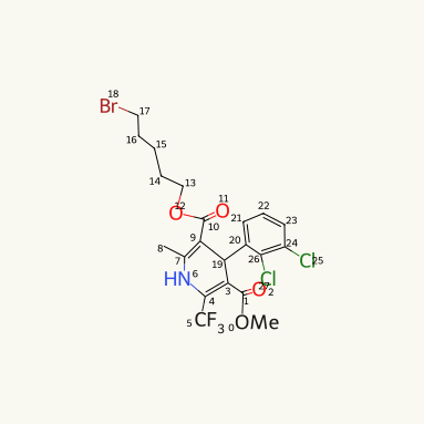 COC(=O)C1=C(C(F)(F)F)NC(C)=C(C(=O)OCCCCCBr)C1c1cccc(Cl)c1Cl